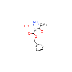 COC(=O)[C@H](C(=O)OCc1ccccc1)C(N)O